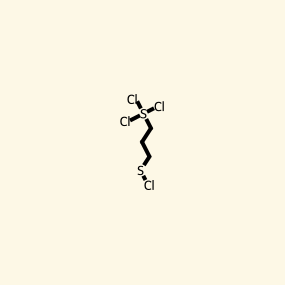 ClSCCCS(Cl)(Cl)Cl